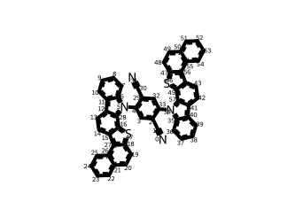 N#Cc1cc(-n2c3ccccc3c3ccc4c(sc5ccc6ccccc6c54)c32)c(C#N)cc1-n1c2ccccc2c2ccc3c(sc4ccc5ccccc5c43)c21